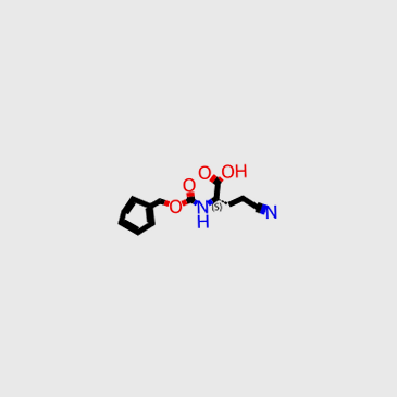 N#CCC[C@H](NC(=O)OCc1ccccc1)C(=O)O